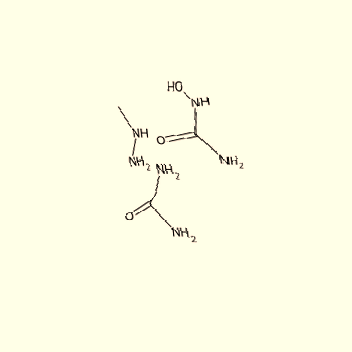 CNN.NC(=O)NO.NC(N)=O